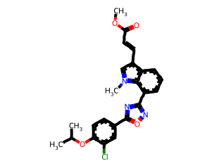 COC(=O)C=Cc1cn(C)c2c(-c3noc(-c4ccc(OC(C)C)c(Cl)c4)n3)cccc12